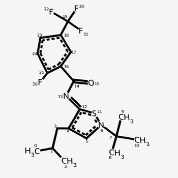 CC(C)Cc1cn(C(C)(C)C)sc1=NC(=O)c1cc(C(F)(F)F)ccc1F